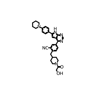 N#Cc1cc(-c2ncnc3[nH]c(-c4ccc(N5CCCCC5)cc4)cc23)ccc1CC1CCN(C(=O)CO)CC1